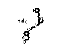 CN1C(=O)CCc2cc(OCCCNCc3ccnc(CCc4cccnc4)c3)ccc21.Cl.Cl.Cl